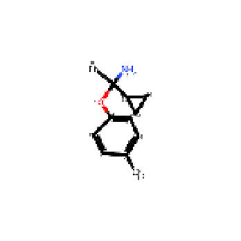 CCC(N)(Oc1ccc(C(F)(F)F)cc1)C1CC1